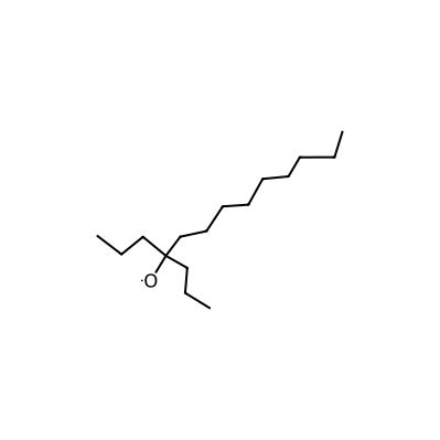 CCCCCCCCCC([O])(CCC)CCC